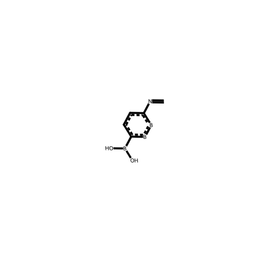 C=Nc1bbc(B(O)O)cc1